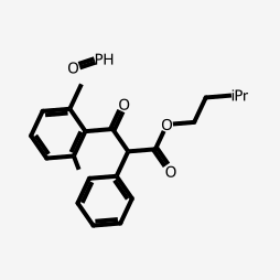 Cc1cccc(C)c1C(=O)C(C(=O)OCCC(C)C)c1ccccc1.O=P